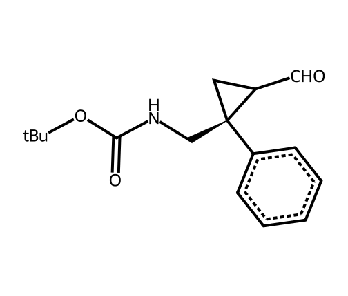 CC(C)(C)OC(=O)NC[C@@]1(c2ccccc2)CC1C=O